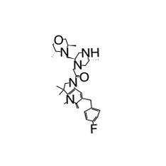 C=C1C(Cc2ccc(F)cc2)=CC2=C(N1C)C(C)(C)CN2C(=O)CN1C[C@@H](C)NC[C@@H]1CN1[C@H](C)COC[C@H]1C